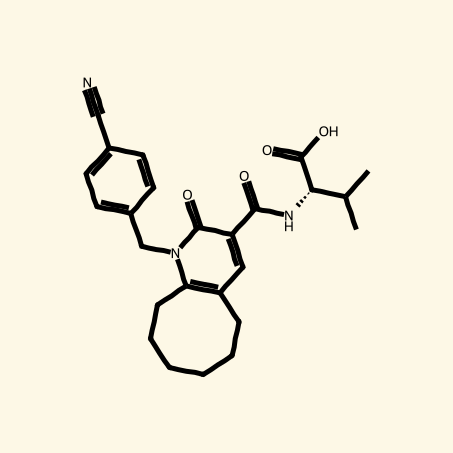 CC(C)[C@H](NC(=O)c1cc2c(n(Cc3ccc(C#N)cc3)c1=O)CCCCCC2)C(=O)O